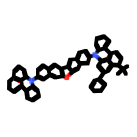 CC(C)(C)c1ccc(-c2ccccc2N(c2cccc(-c3ccccc3)c2)c2ccc3cc4c(cc3c2)oc2cc3cc(N(c5ccccc5)c5ccccc5-c5ccccc5)ccc3cc24)cc1